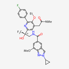 CCOc1c(CC(=O)NC)cc([C@@](O)(CNC(=O)c2cc(OC)c3nn(C4CC4)cc3c2)C(F)(F)F)nc1-c1ccc(F)cc1